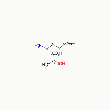 CC(O)C(=O)O.CCCCCCCCN